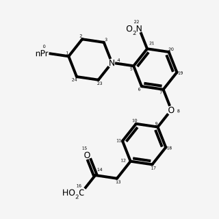 CCCC1CCN(c2cc(Oc3ccc(CC(=O)C(=O)O)cc3)ccc2[N+](=O)[O-])CC1